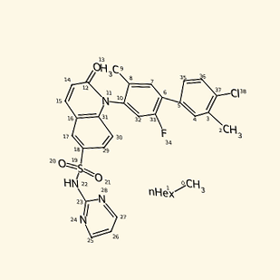 CCCCCCC.Cc1cc(-c2cc(C)c(-n3c(=O)ccc4cc(S(=O)(=O)Nc5ncccn5)ccc43)cc2F)ccc1Cl